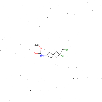 CC(C)(C)OC(=O)NC1CC2(C1)CC(F)(CBr)C2